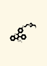 CC1=C(c2ccccc2)C(c2ccc(OCCN3CC(CF)C3)cc2)Oc2ccccc21